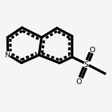 CS(=O)(=O)c1ccc2ccncc2c1